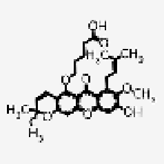 COc1c(O)cc2oc3cc4c(c(OCCCCC(=O)O)c3c(=O)c2c1CC=C(C)C)C=CC(C)(C)O4